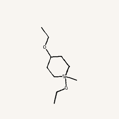 CCOC1CC[Si](C)(OCC)CC1